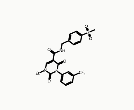 CCn1cc(C(=O)NCc2ccc(S(C)(=O)=O)cc2)c(=O)n(-c2cccc(C(F)(F)F)c2)c1=O